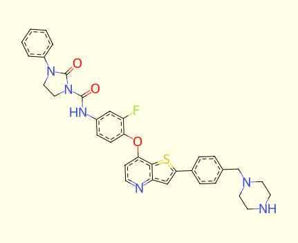 O=C(Nc1ccc(Oc2ccnc3cc(-c4ccc(CN5CCNCC5)cc4)sc23)c(F)c1)N1CCN(c2ccccc2)C1=O